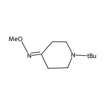 CON=C1CCN(C(C)(C)C)CC1